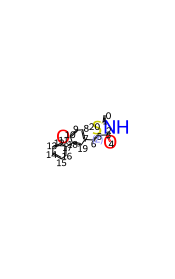 C=c1[nH]c(=O)/c(=C/c2ccc3oc4ccccc4c3c2)s1